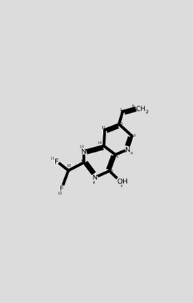 C=Cc1cnc2c(O)nc(C(F)F)nc2c1